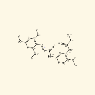 COc1cc(OC)c(/C=C/C(=O)Nc2ccc(OC)c([AsH]C(=O)CCl)c2)c(OC)c1